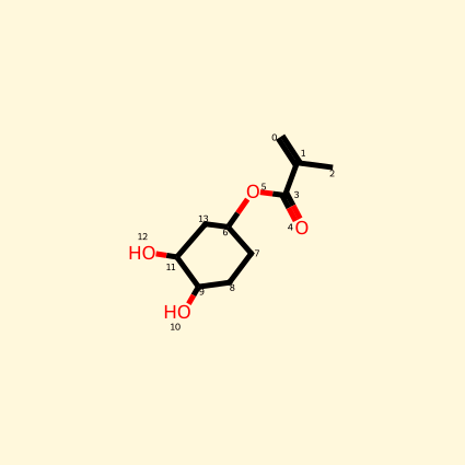 C=C(C)C(=O)OC1CCC(O)C(O)C1